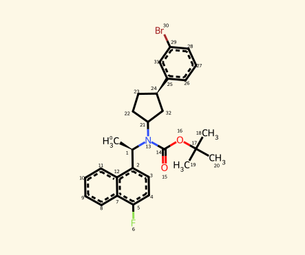 C[C@H](c1ccc(F)c2ccccc12)N(C(=O)OC(C)(C)C)C1CC[C@@H](c2cccc(Br)c2)C1